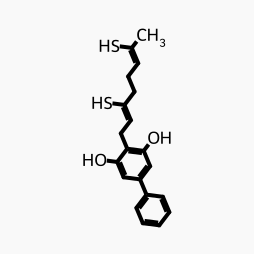 CC(S)=CCCC(S)=CCc1c(O)cc(-c2ccccc2)cc1O